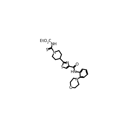 CCOC(=O)NC(=S)N1CCC(c2nc(C(=O)Nc3ccccc3N3CCOCC3)cs2)CC1